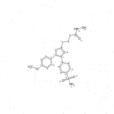 COc1ccc(-c2cc(CCCC(=O)NO)oc2-c2ccc(S(N)(=O)=O)cc2)cc1